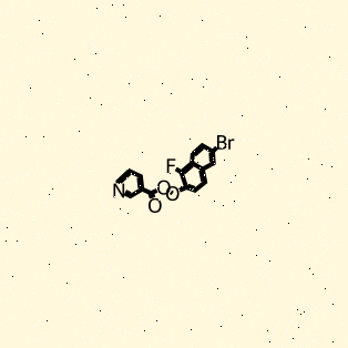 O=C(OOc1ccc2cc(Br)ccc2c1F)c1cccnc1